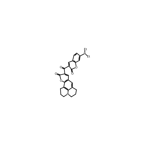 CCN(CC)c1ccc2cc(C(=O)c3cc4cc5c6c(c4oc3=O)CCCN6CCC5)c(=O)oc2c1